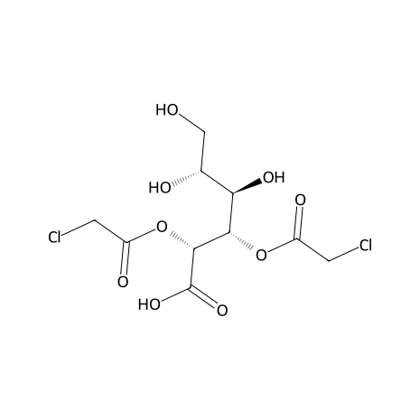 O=C(CCl)O[C@@H]([C@H](O)[C@H](O)CO)[C@@H](OC(=O)CCl)C(=O)O